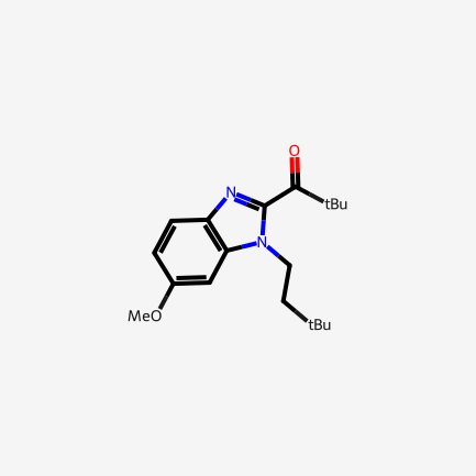 COc1ccc2nc(C(=O)C(C)(C)C)n(CCC(C)(C)C)c2c1